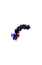 O=C(NC1CCCC1)c1cnn(-c2ccc(OC3CCN(C4CCC4)CC3)cc2)c1